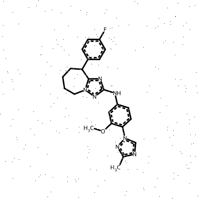 COc1cc(Nc2nc3n(n2)CCCCC3c2ccc(F)cc2)ccc1-n1cnc(C)n1